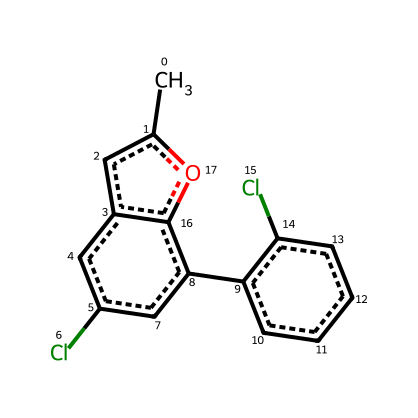 Cc1cc2cc(Cl)cc(-c3ccccc3Cl)c2o1